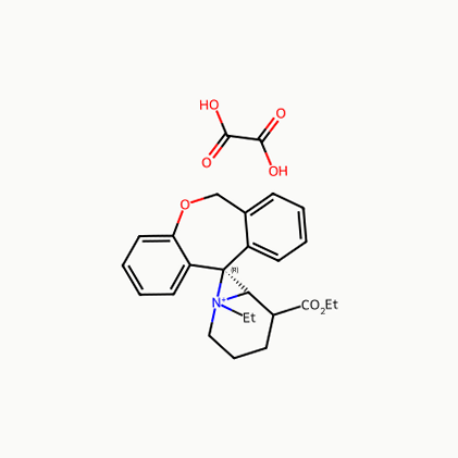 CCOC(=O)C1CCC[N+]2(CC)C1[C@]21c2ccccc2COc2ccccc21.O=C(O)C(=O)O